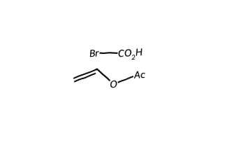 C=COC(C)=O.O=C(O)Br